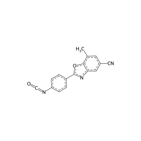 Cc1cc(C#N)cc2nc(-c3ccc(N=C=O)cc3)oc12